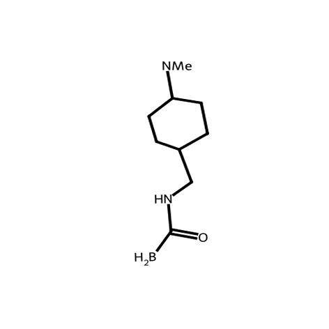 BC(=O)NCC1CCC(NC)CC1